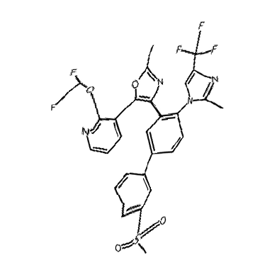 Cc1nc(-c2cc(-c3cccc(S(C)(=O)=O)c3)ccc2-n2cc(C(F)(F)F)nc2C)c(-c2cccnc2OC(F)F)o1